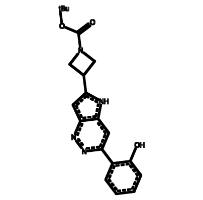 CC(C)(C)OC(=O)N1CC(c2cc3nnc(-c4ccccc4O)cc3[nH]2)C1